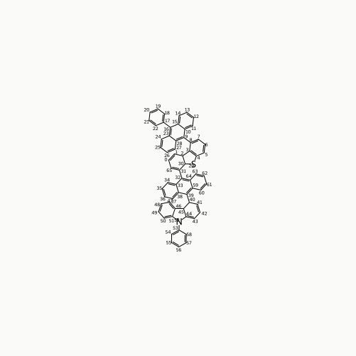 C1=CC2c3c(cccc3-c3c4ccccc4c(-c4ccccc4)c4ccccc34)SC2C(c2c3ccccc3c(C3C=CC=C4C3c3ccccc3N4c3ccccc3)c3ccccc23)=C1